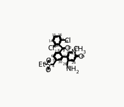 CCS(=O)(=O)Cc1ccc(C(=O)c2c(Cl)cccc2Cl)c(-c2cn(C)c(=O)cc2CN)c1